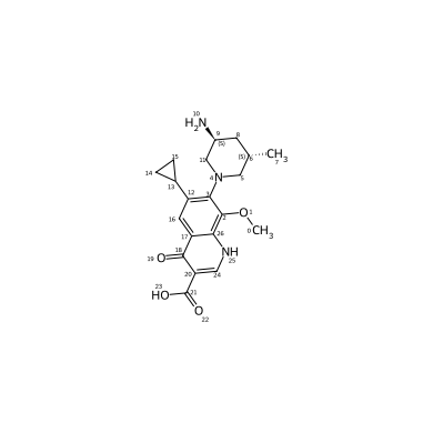 COc1c(N2C[C@@H](C)C[C@H](N)C2)c(C2CC2)cc2c(=O)c(C(=O)O)c[nH]c12